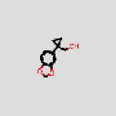 OCC1(c2ccc3c(c2)OCO3)CC1